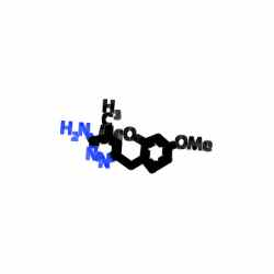 COc1ccc(Cc2cc(C)c(N)nn2)c(OC)c1